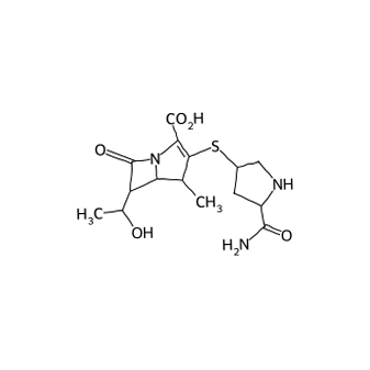 CC(O)C1C(=O)N2C(C(=O)O)=C(SC3CNC(C(N)=O)C3)C(C)C12